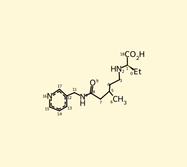 CC[C@@H](NCCC(C)CC(=O)NCc1cccnc1)C(=O)O